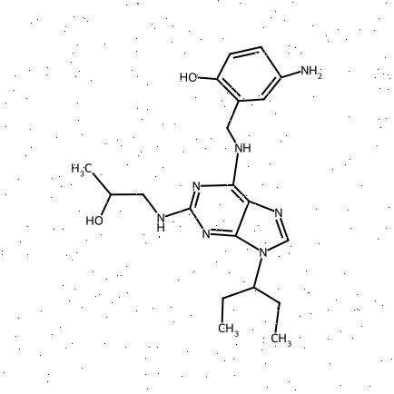 CCC(CC)n1cnc2c(NCc3cc(N)ccc3O)nc(NCC(C)O)nc21